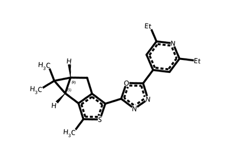 CCc1cc(-c2nnc(-c3sc(C)c4c3C[C@@H]3[C@H]4C3(C)C)o2)cc(CC)n1